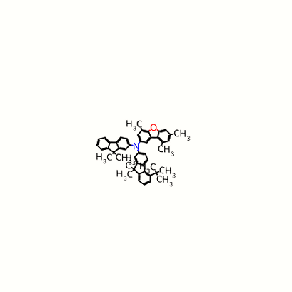 Cc1cc(C)c2c(c1)oc1c(C)cc(N(c3ccc4c(c3)C(C)(C)c3ccccc3-4)c3ccc4c(c3)C(C)(C)c3cccc(C(C)(C)C)c3-4)cc12